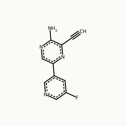 C#Cc1nc(-c2cncc(F)c2)cnc1N